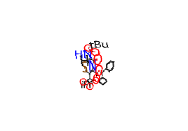 CC(C)Oc1c(C2=C(C(=O)OC(c3ccccc3)c3ccccc3)N3C(=O)C(NC(=O)OC(C)(C)C)[C@@H]3SC2)c(=O)c1=O